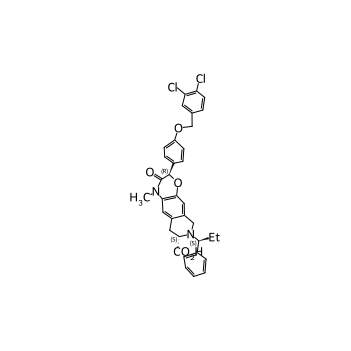 CC[C@@H](c1ccccc1)N1Cc2cc3c(cc2C[C@H]1C(=O)O)N(C)C(=O)[C@@H](c1ccc(OCc2ccc(Cl)c(Cl)c2)cc1)O3